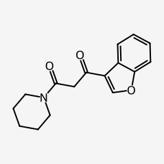 O=C(CC(=O)N1CCCCC1)c1coc2ccccc12